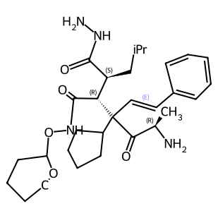 CC(C)C[C@H](C(=O)NN)[C@@H](C(=O)NOC1CCCCO1)C(/C=C/c1ccccc1)(C(=O)[C@@H](C)N)C1CCCC1